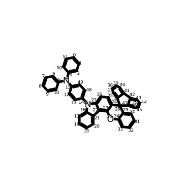 c1ccc(N(c2ccccc2)c2ccc(-n3c4ccccc4c4c5c(ccc43)C3(c4ccccc4O5)c4ccccc4-c4ccccc43)cc2)cc1